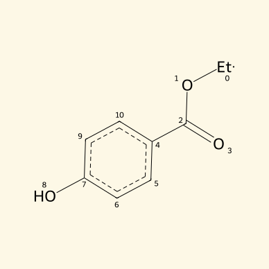 C[CH]OC(=O)c1ccc(O)cc1